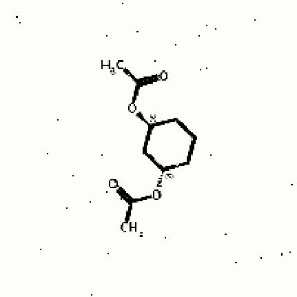 CC(=O)O[C@H]1CCC[C@H](OC(C)=O)C1